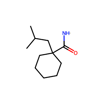 CC(C)CC1(C([NH])=O)CCCCC1